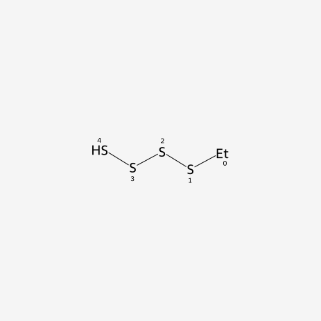 CCSSSS